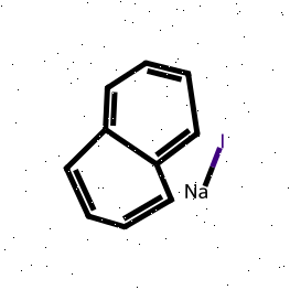 [Na][I].c1ccc2ccccc2c1